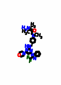 CN(CC(=O)C(C)(C)N)[C@H]1CC[C@H](CNc2nc(N3CCOCC3)cc(-n3c(C(F)F)nc4ccccc43)n2)CC1